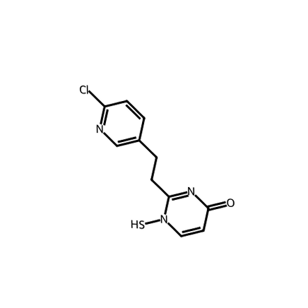 O=c1ccn(S)c(CCc2ccc(Cl)nc2)n1